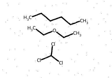 CCCCCC.CCOCC.ClC(Cl)Cl